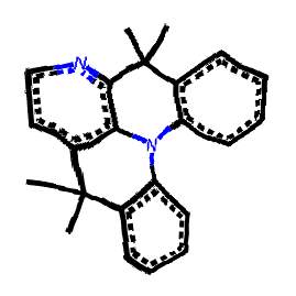 CC1(C)c2ccccc2N2c3ccccc3C(C)(C)c3nccc1c32